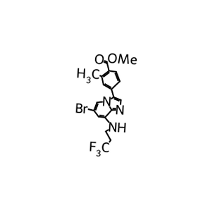 COC(=O)c1ccc(-c2cnc3c(NCCC(F)(F)F)cc(Br)cn23)cc1C